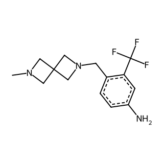 CN1CC2(C1)CN(Cc1ccc(N)cc1C(F)(F)F)C2